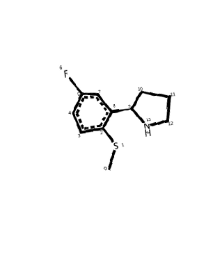 CSc1ccc(F)cc1[C@H]1CCCN1